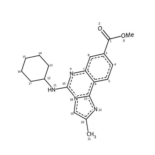 COC(=O)c1ccc2c(c1)nc(NC1CCCCC1)n1cc(C)nc21